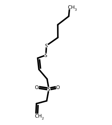 C=CCS(=O)(=O)C/C=C\SSCCCC